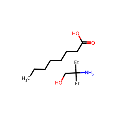 CCC(N)(CC)CO.CCCCCCCC(=O)O